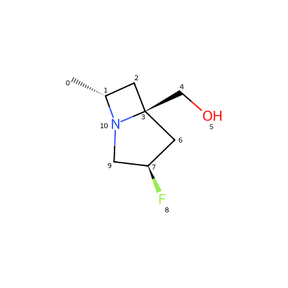 C[C@@H]1C[C@]2(CO)C[C@@H](F)CN12